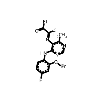 CCC(=O)/C(C)=N/c1c(C)ncnc1Nc1ccc(F)cc1OC(C)C